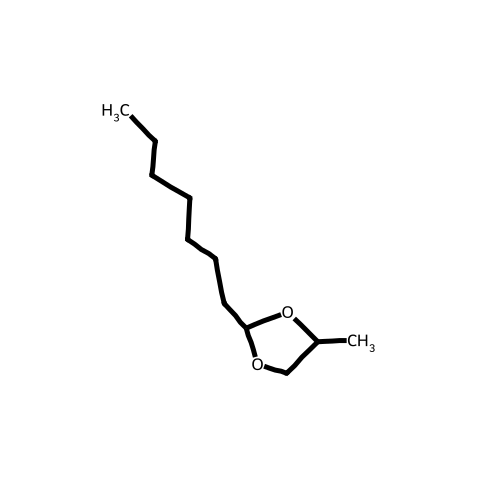 CCCCCCCC1OCC(C)O1